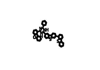 c1ccc(C2N=C(c3cccc4oc5ccccc5c34)NC(c3ccc4sc5cc(-c6cccc7c6sc6ccccc67)ccc5c4c3)N2)cc1